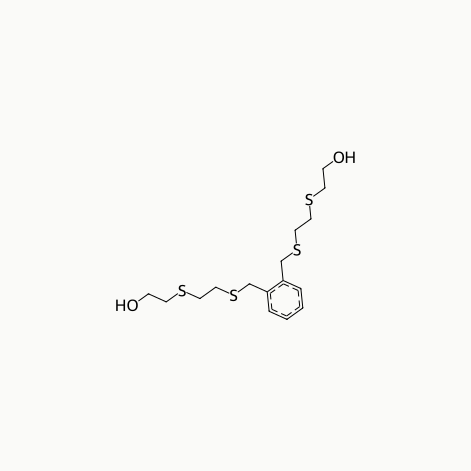 OCCSCCSCc1ccccc1CSCCSCCO